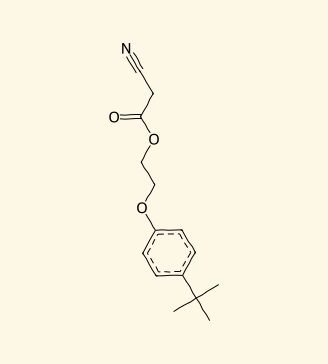 CC(C)(C)c1ccc(OCCOC(=O)CC#N)cc1